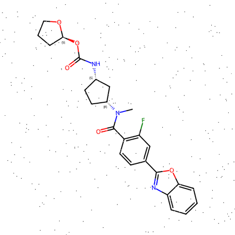 CN(C(=O)c1ccc(-c2nc3ccccc3o2)cc1F)[C@@H]1CC[C@H](NC(=O)O[C@H]2CCCO2)C1